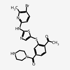 CC(=O)c1ccc(C(=O)N2CCNCC2)cc1Sc1cnc(Nc2ccc(Br)c(C)n2)s1